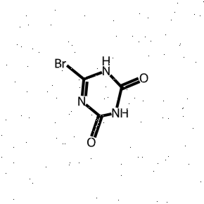 O=c1nc(Br)[nH]c(=O)[nH]1